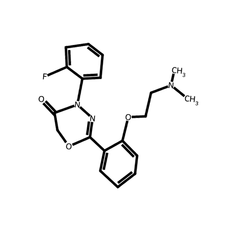 CN(C)CCOc1ccccc1C1=NN(c2ccccc2F)C(=O)CO1